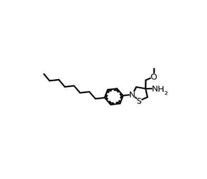 CCCCCCCCc1ccc(N2CC(N)(COC)CS2)cc1